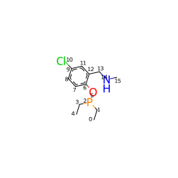 CCP(CC)Oc1ccc(Cl)cc1CNC